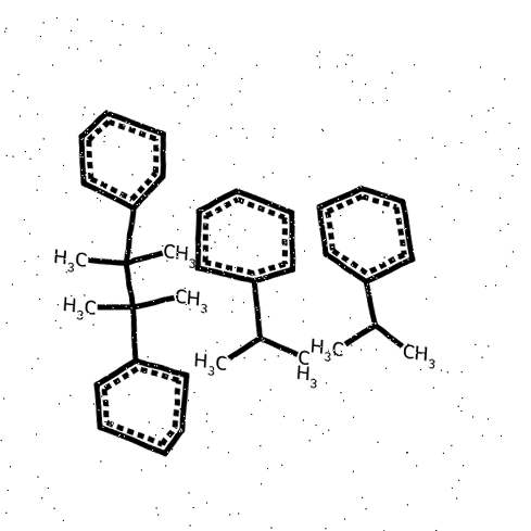 CC(C)(c1ccccc1)C(C)(C)c1ccccc1.CC(C)c1ccccc1.CC(C)c1ccccc1